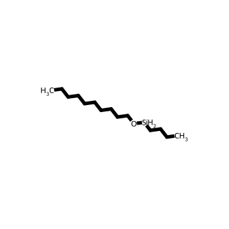 CCCCCCCCCCO[SiH2]CCCC